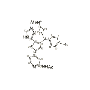 CNC1CN(C(c2ccc(I)cc2)c2cc(-c3ccnc(NC(C)=O)c3)sc2-c2nnc[nH]2)C1